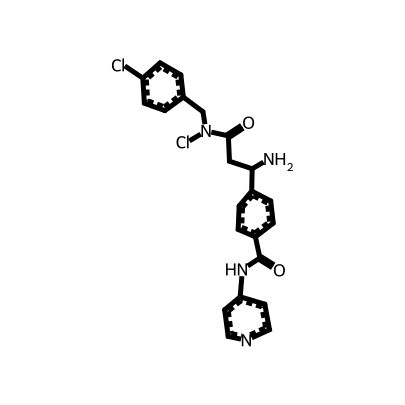 NC(CC(=O)N(Cl)Cc1ccc(Cl)cc1)c1ccc(C(=O)Nc2ccncc2)cc1